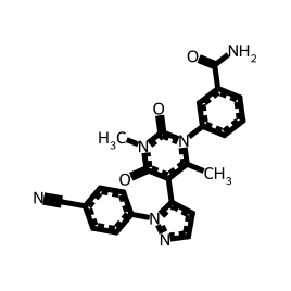 Cc1c(-c2ccnn2-c2ccc(C#N)cc2)c(=O)n(C)c(=O)n1-c1cccc(C(N)=O)c1